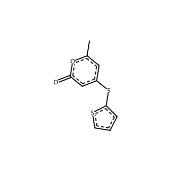 Cc1cc(Sc2cccs2)cc(=O)o1